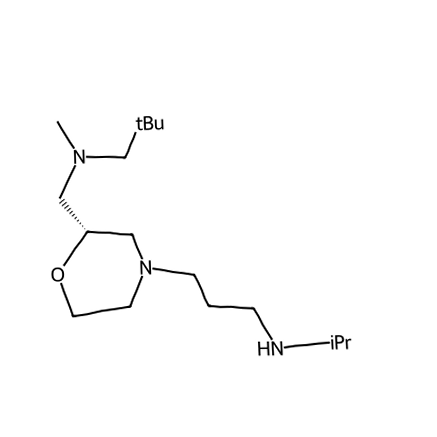 CC(C)NCCCN1CCO[C@H](CN(C)CC(C)(C)C)C1